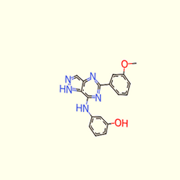 COc1cccc(-c2nc(Nc3cccc(O)c3)c3[nH]ncc3n2)c1